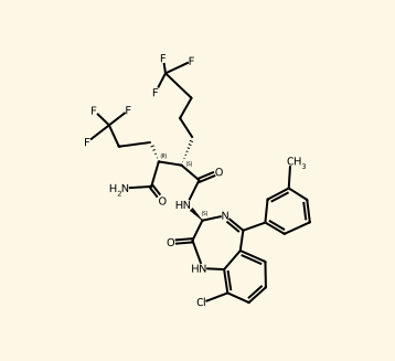 Cc1cccc(C2=N[C@H](NC(=O)[C@@H](CCCC(F)(F)F)[C@@H](CCC(F)(F)F)C(N)=O)C(=O)Nc3c(Cl)cccc32)c1